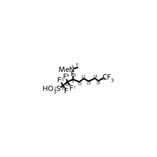 CNC.O=S(=O)(O)C(F)(F)C(F)(F)C(F)CCCCCC(F)(F)F